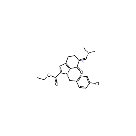 CCOC(=O)c1cc2c(n1Cc1ccc(Cl)cc1)C(=O)/C(=C/N(C)C)CC2